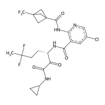 CC(F)(F)CC[C@H](NC(=O)c1cc(Cl)cnc1NC(=O)C12CC(C(F)(F)F)(C1)C2)C(=O)C(=O)NC1CC1